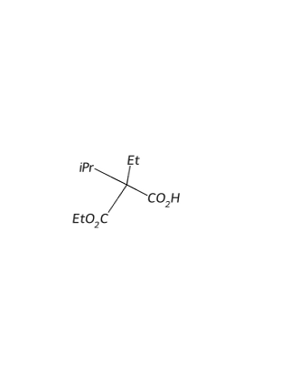 CCOC(=O)C(CC)(C(=O)O)C(C)C